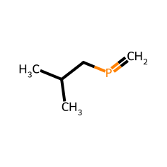 C=PCC(C)C